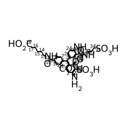 Nc1ccc2c(-c3ccc(C(=O)NCCCCCC(=O)O)cc3C(=O)O)c3ccc(N)c(S(=O)(=O)NCCCS(=O)(=O)O)c3[o+]c2c1S(=O)(=O)O